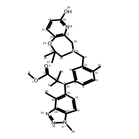 COC(=O)C(C)(C)[C@@H](c1ccc(C)c(CN2Cc3nc(O)ccc3OC(C)(C)C2)c1)c1ccc2c(nnn2C)c1C